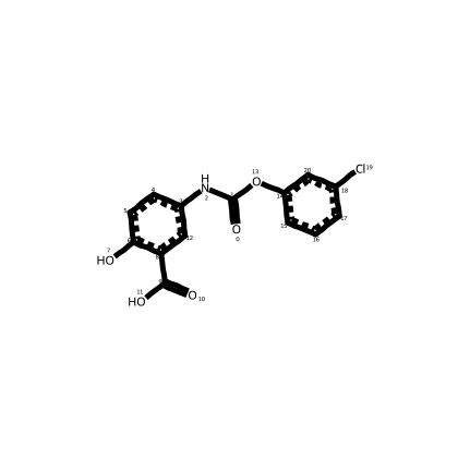 O=C(Nc1ccc(O)c(C(=O)O)c1)Oc1cccc(Cl)c1